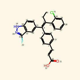 CC/C(=C(/c1ccc(/C=C/C(=O)O)cc1)c1ccc2[nH]nc(F)c2c1)c1ccccc1Cl